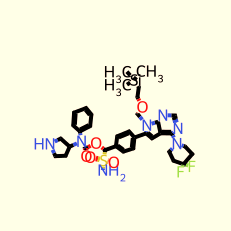 C[Si](C)(C)CCOCn1c(-c2ccc(C(OC(=O)N(c3ccccc3)C3CCNC3)S(N)(=O)=O)cc2)cc2c(N3CCC(F)(F)CC3)ncnc21